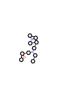 c1ccc(-c2cccc(N(c3ccc(-c4ccccc4-c4ccccc4-n4c5ccccc5c5ccccc54)cc3)c3ccc(-c4cccc5c4oc4ccccc45)cc3)c2)cc1